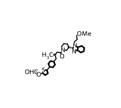 COCCCn1c([C@@H]2CCCN(C(=O)C[C@H](C)Cc3ccc(-c4ccc(OC=O)s4)cc3)C2)nc2ccccc21